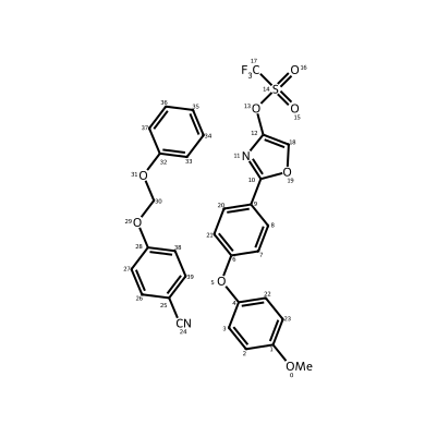 COc1ccc(Oc2ccc(-c3nc(OS(=O)(=O)C(F)(F)F)co3)cc2)cc1.N#Cc1ccc(OCOc2ccccc2)cc1